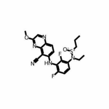 CCC[S+]([O-])N(CC)c1ccc(F)c(Nc2ccc3ncc(OC)nc3c2C#N)c1F